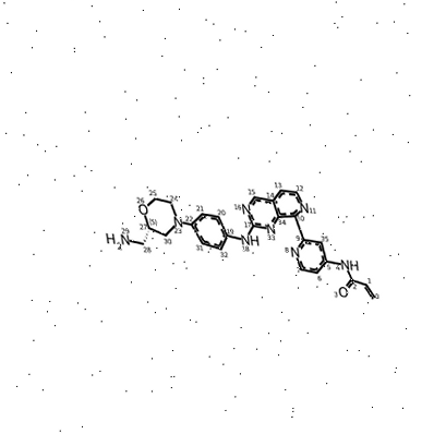 C=CC(=O)Nc1ccnc(-c2nccc3cnc(Nc4ccc(N5CCO[C@@H](CN)C5)cc4)nc23)c1